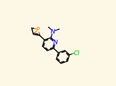 CN(C)c1nc(-c2cccc(Cl)c2)ccc1C1=C2CP21